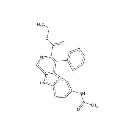 CCOC(=O)c1ncc2[nH]c3ccc(NC(C)=O)cc3c2c1-c1ccccc1